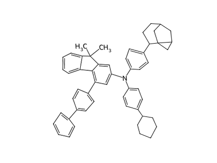 CC1(C)c2ccccc2-c2c(-c3ccc(-c4ccccc4)cc3)cc(N(c3ccc(C4CCCCC4)cc3)c3ccc(C4CCC5CC6CC64C5)cc3)cc21